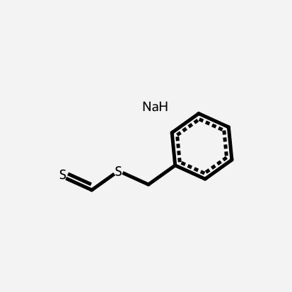 S=CSCc1ccccc1.[NaH]